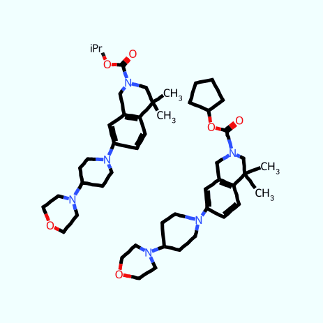 CC(C)OC(=O)N1Cc2cc(N3CCC(N4CCOCC4)CC3)ccc2C(C)(C)C1.CC1(C)CN(C(=O)OC2CCCC2)Cc2cc(N3CCC(N4CCOCC4)CC3)ccc21